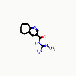 CN=C(N)NC(=O)c1cnc2c(c1)CCCC=C2